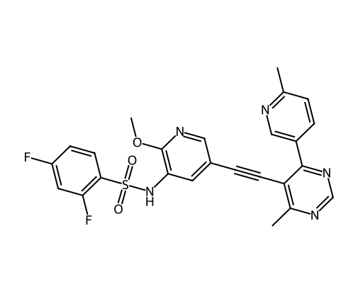 COc1ncc(C#Cc2c(C)ncnc2-c2ccc(C)nc2)cc1NS(=O)(=O)c1ccc(F)cc1F